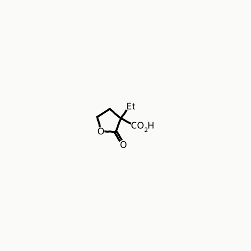 CCC1(C(=O)O)CCOC1=O